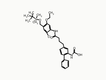 CCOc1cc(NC(=O)CCCc2ccc(-c3ccccc3)c(NC(=O)O)c2)c(Cl)cc1CO[Si](C)(C)C(C)(C)C